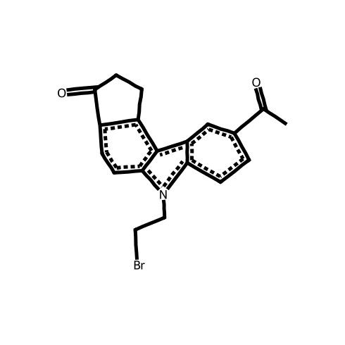 CC(=O)c1ccc2c(c1)c1c3c(ccc1n2CCBr)C(=O)CC3